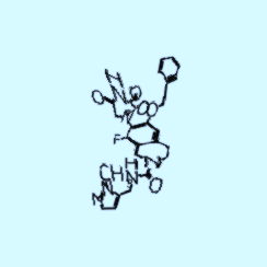 Cn1nccc1CNC(=O)N1CCc2cc(OCc3ccccc3)c(N3CC(=O)NS3(=O)=O)c(F)c2C1